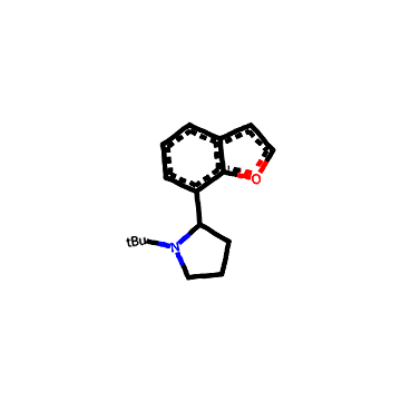 CC(C)(C)N1CCCC1c1cccc2ccoc12